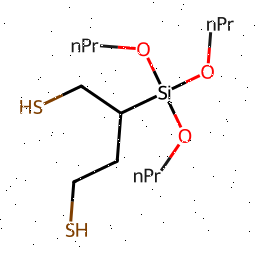 CCCO[Si](OCCC)(OCCC)C(CS)CCS